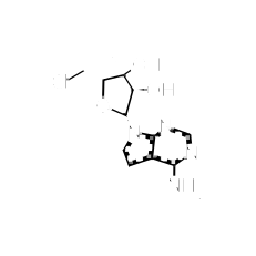 C[C@@]1(O)[C@@H](CCl)O[C@@H](n2ccc3c(N)ncnc32)[C@@H]1O